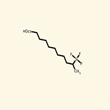 CCCCCCCCCCCCCCCCC(C)[Si](F)(F)F